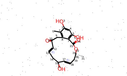 Cc1c(O)cc(O)c2c1CC(=O)/C=C/CC(O)/C=C/C[C@@H](C)OC2=O